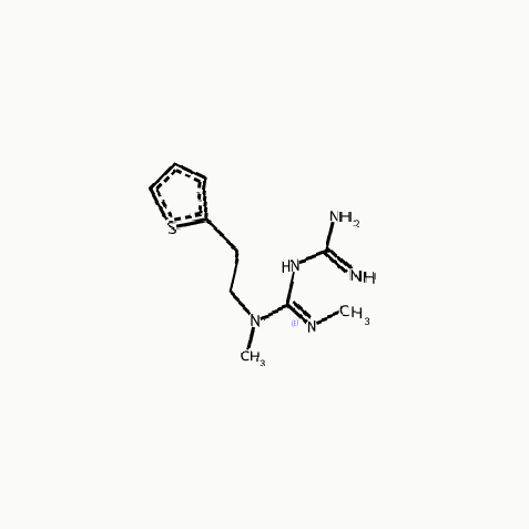 C/N=C(\NC(=N)N)N(C)CCc1cccs1